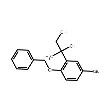 CC(C)(C)c1ccc(OCc2ccccc2)c(C(C)(C)CO)c1